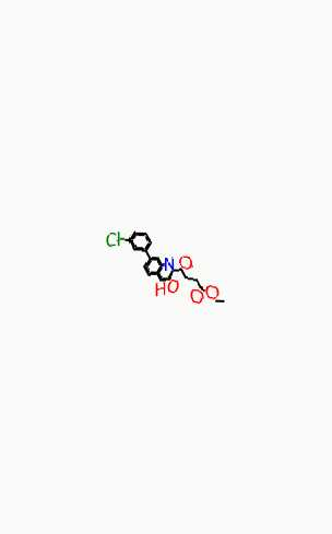 CCOC(=O)CCC(=O)c1nc2cc(-c3cccc(Cl)c3)ccc2cc1O